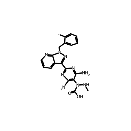 CNN(C(=O)O)c1c(N)nc(-c2nn(Cc3ccccc3F)c3ncccc23)nc1N